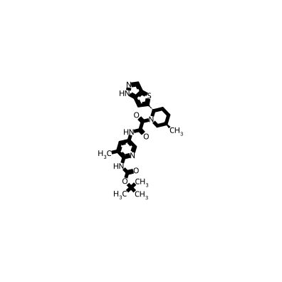 Cc1cc(NC(=O)C(=O)N2C[C@H](C)CC[C@H]2c2cc3[nH]ncc3s2)cnc1NC(=O)OC(C)(C)C